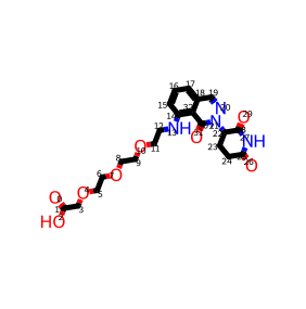 O=C(O)COCCOCCOCCNc1cccc2cnn(C3CCC(=O)NC3=O)c(=O)c12